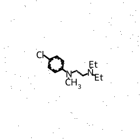 CCN(CC)CCN(C)c1ccc(Cl)cc1